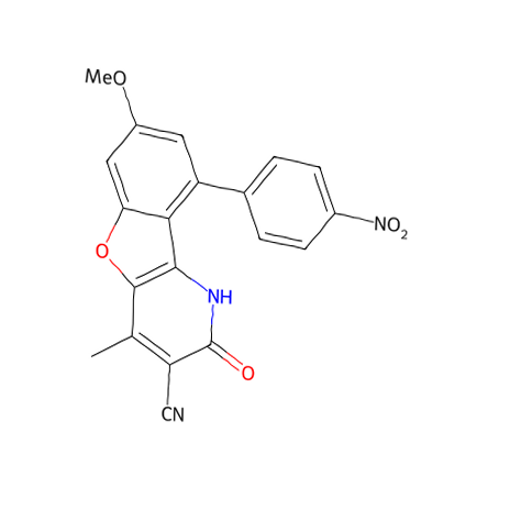 COc1cc(-c2ccc([N+](=O)[O-])cc2)c2c(c1)oc1c(C)c(C#N)c(=O)[nH]c12